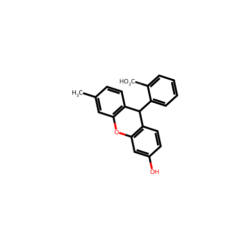 Cc1ccc2c(c1)Oc1cc(O)ccc1C2c1ccccc1C(=O)O